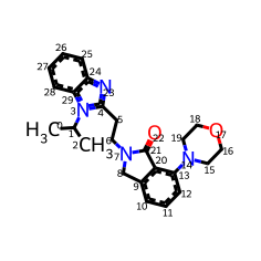 CC(C)n1c(CCN2Cc3cccc(N4CCOCC4)c3C2=O)nc2ccccc21